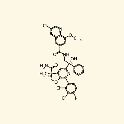 COc1cc(C(=O)NC[C@@](O)(c2ccccc2)c2cc3c(c(-c4ccc(F)c(Cl)c4Cl)n2)OC[C@]3(C)C(N)=O)cc2cc(Cl)cnc12